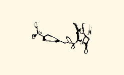 CC1=C(C(=O)OCc2ccc([N+](=O)[O-])cc2)N2C(=O)C[C@@H]2S1